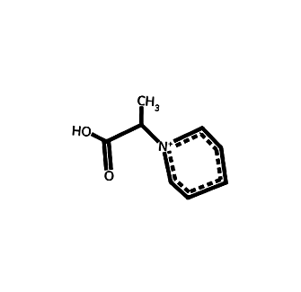 CC(C(=O)O)[n+]1ccccc1